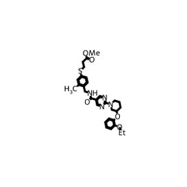 CCOc1ccccc1OC1CCCN(c2ncc(C(=O)NCc3ccc(SCCC(=O)OC)cc3C)cn2)C1